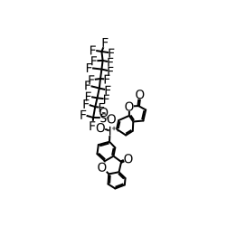 O=c1ccc2ccc([I+](OS(=O)(=O)C(F)(F)C(F)(F)C(F)(F)C(F)(F)C(F)(F)C(F)(F)C(F)(F)C(F)(F)F)c3ccc4oc5ccccc5c(=O)c4c3)cc2o1